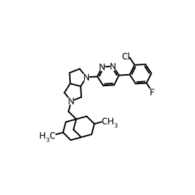 CC1CC2CC(C)CC(CN3CC4CCN(c5ccc(-c6cc(F)ccc6Cl)nn5)C4C3)(C1)C2